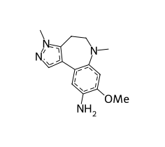 COc1cc2c(cc1N)-c1cnn(C)c1CCN2C